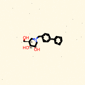 OC[C@H]1CN(Cc2ccc(-c3ccccc3)cc2)C[C@@H](O)[C@@H]1O